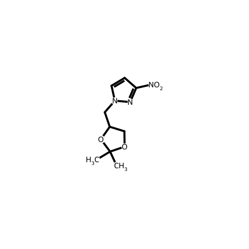 CC1(C)OCC(Cn2ccc([N+](=O)[O-])n2)O1